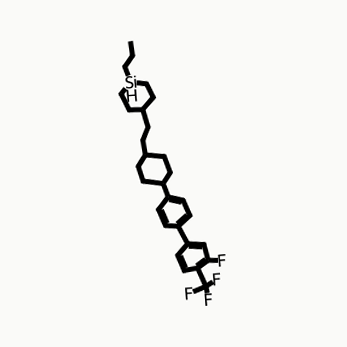 CCC[SiH]1CCC(CCC2CCC(c3ccc(-c4ccc(C(F)(F)F)c(F)c4)cc3)CC2)CC1